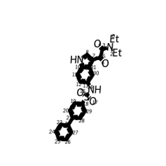 CCN(CC)C(=O)C(=O)c1c[nH]c2ccc(NS(=O)(=O)c3ccc(-c4ccccc4)cc3)cc12